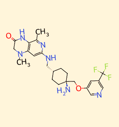 Cc1nc(NC[C@H]2CC[C@@](N)(COc3cncc(C(F)(F)F)c3)CC2)cc2c1NC(=O)CN2C